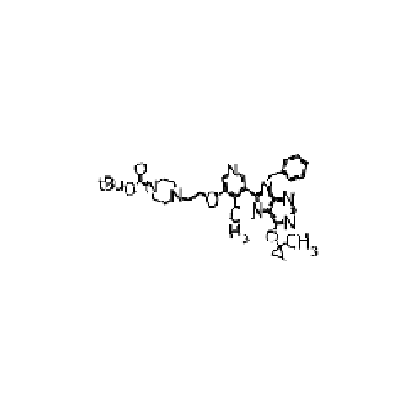 Cc1c(OCCN2CCN(C(=O)OC(C)(C)C)CC2)cncc1-c1nc2c(OC3(C)CC3)ncnc2n1Cc1ccccc1